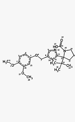 COc1ccc(OCc2cnc(C3(C(C)(C)C)CCCN3C(=O)O)s2)cc1OC